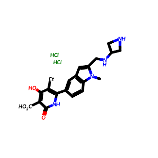 CCc1c(-c2ccc3c(c2)cc(CNC2CNC2)n3C)[nH]c(=O)c(C(=O)O)c1O.Cl.Cl